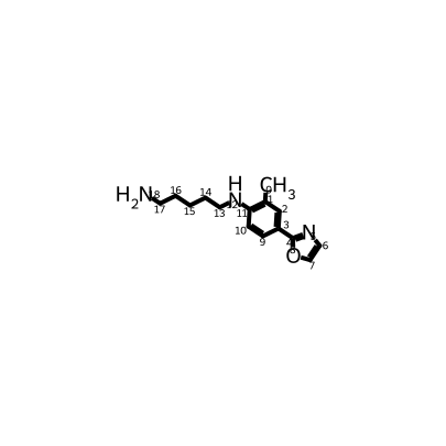 Cc1cc(-c2ncco2)ccc1NCCCCCN